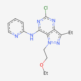 CCOCCn1nc(CC)c2nc(Cl)nc(Nc3ccccn3)c21